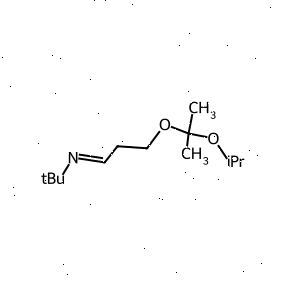 CC(C)OC(C)(C)OCC/C=N/C(C)(C)C